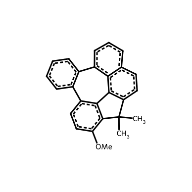 COc1ccc2c3c1C(C)(C)c1ccc4cccc(c4c1-3)-c1ccccc1-2